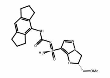 COC[C@H]1Cn2ncc([S@](N)(=O)=NC(=O)Nc3c4c(cc5c3CCC5)CCC4)c2O1